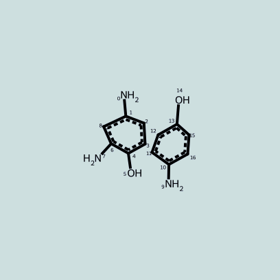 Nc1ccc(O)c(N)c1.Nc1ccc(O)cc1